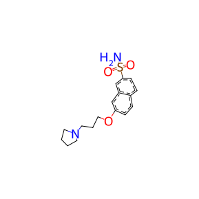 NS(=O)(=O)c1ccc2ccc(OCCCN3CCCC3)cc2c1